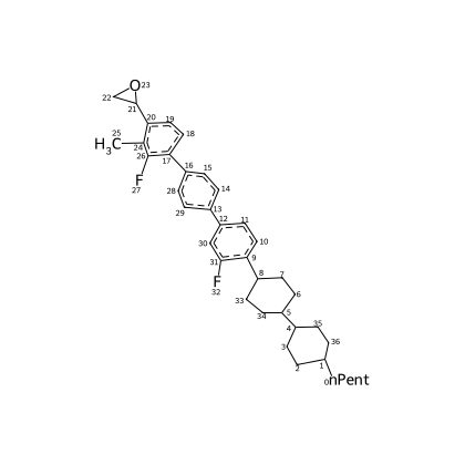 CCCCCC1CCC(C2CCC(c3ccc(-c4ccc(-c5ccc(C6CO6)c(C)c5F)cc4)cc3F)CC2)CC1